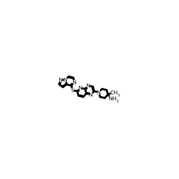 CC1(N)CCN(c2cnc3nc(Sc4nccn5nccc45)ccc3n2)CC1